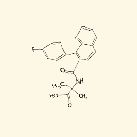 CC(C)(NC(=O)c1ccc2ccccc2c1-c1ccc(F)cc1)C(=O)O